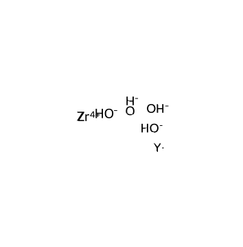 [OH-].[OH-].[OH-].[OH-].[Y].[Zr+4]